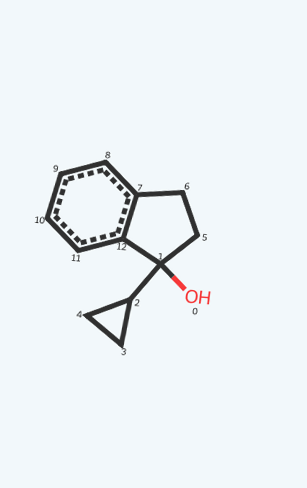 OC1(C2CC2)CCc2ccccc21